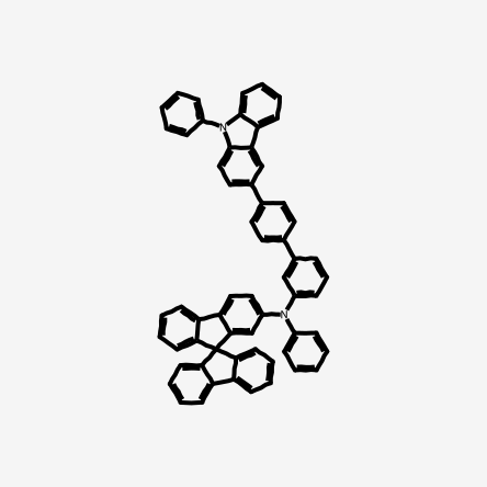 c1ccc(N(c2cccc(-c3ccc(-c4ccc5c(c4)c4ccccc4n5-c4ccccc4)cc3)c2)c2ccc3c(c2)C2(c4ccccc4-c4ccccc42)c2ccccc2-3)cc1